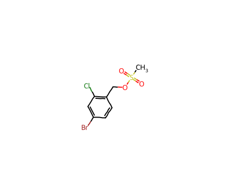 CS(=O)(=O)OCc1ccc(Br)cc1Cl